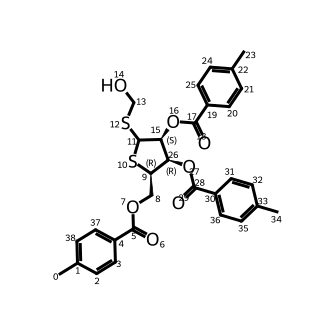 Cc1ccc(C(=O)OC[C@H]2SC(SCO)[C@@H](OC(=O)c3ccc(C)cc3)[C@H]2OC(=O)c2ccc(C)cc2)cc1